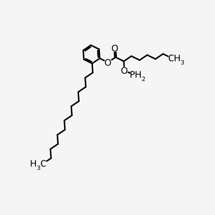 CCCCCCCCCCCCCCc1ccccc1OC(=O)C(CCCCCC)OP